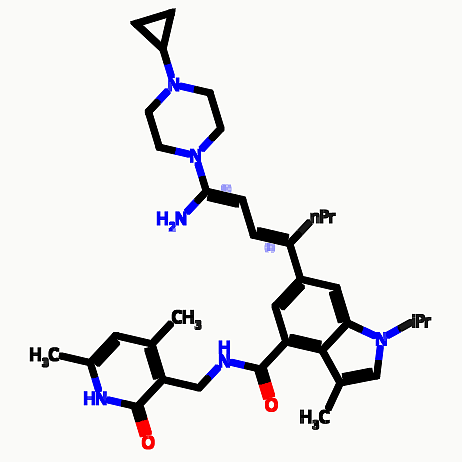 CCC/C(=C\C=C(/N)N1CCN(C2CC2)CC1)c1cc(C(=O)NCc2c(C)cc(C)[nH]c2=O)c2c(C)cn(C(C)C)c2c1